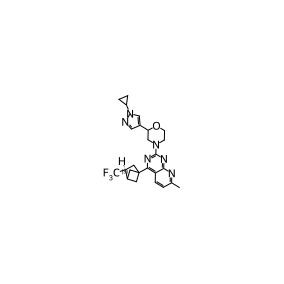 Cc1ccc2c(C34CC(C3)[C@@H](C(F)(F)F)C4)nc(N3CCOC(c4cnn(C5CC5)c4)C3)nc2n1